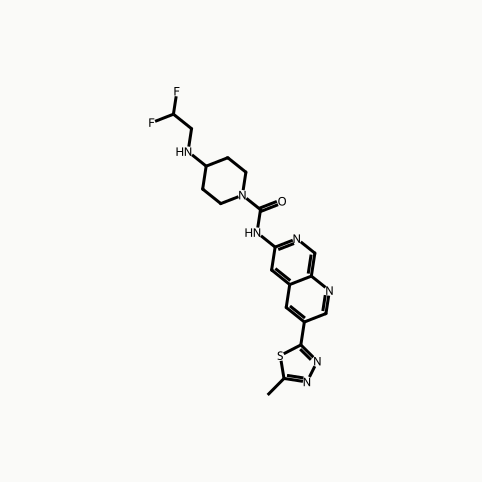 Cc1nnc(-c2cnc3cnc(NC(=O)N4CCC(NCC(F)F)CC4)cc3c2)s1